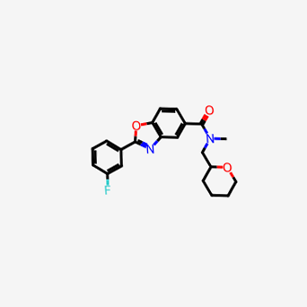 CN(CC1CCCCO1)C(=O)c1ccc2oc(-c3cccc(F)c3)nc2c1